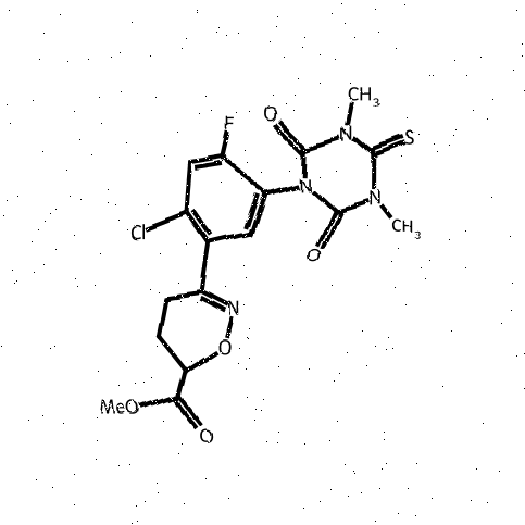 COC(=O)C1CCC(c2cc(-n3c(=O)n(C)c(=S)n(C)c3=O)c(F)cc2Cl)=NO1